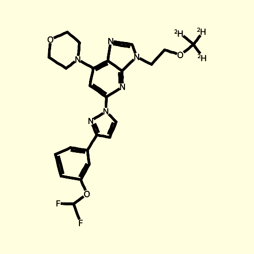 [2H]C([2H])([2H])OCCn1cnc2c(N3CCOCC3)cc(-n3ccc(-c4cccc(OC(F)F)c4)n3)nc21